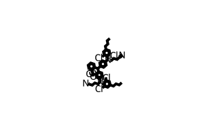 CCCCc1cc(Cl)c(N(CCCC#N)c2ccc(C(c3ccc(N(CCCC#N)c4c(Cl)cc(CCCC)cc4Cl)cc3)c3ccccc3S(=O)(=O)O)cc2)c(Cl)c1